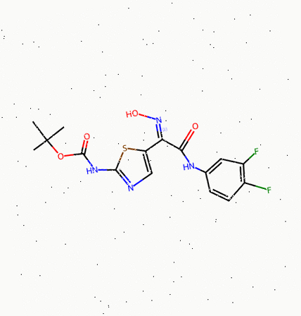 CC(C)(C)OC(=O)Nc1ncc(/C(=N\O)C(=O)Nc2ccc(F)c(F)c2)s1